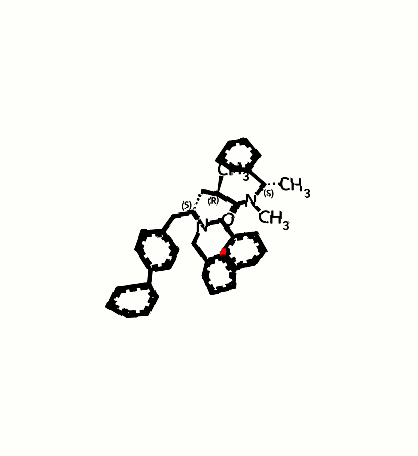 C[C@H](C[C@@H](Cc1ccc(-c2ccccc2)cc1)N(Cc1ccccc1)Cc1ccccc1)C(=O)N(C)[C@@H](C)c1ccccc1